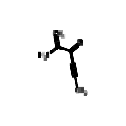 C=C(C)C(=O)C#CC